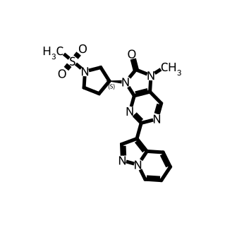 Cn1c(=O)n([C@H]2CCN(S(C)(=O)=O)C2)c2nc(-c3cnn4ccccc34)ncc21